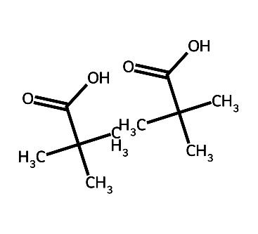 CC(C)(C)C(=O)O.CC(C)(C)C(=O)O